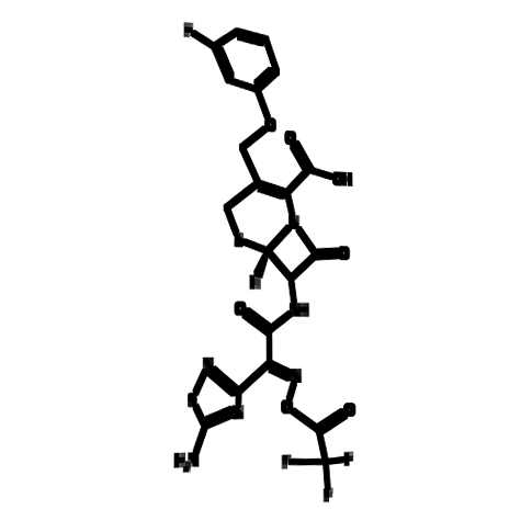 Nc1nc(C(=NOC(=O)C(F)(F)F)C(=O)NC2C(=O)N3C(C(=O)O)=C(COc4cccc(F)c4)CS[C@@H]23)ns1